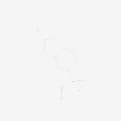 NC(=O)C1(c2cc(F)c3c(c2)CC(C=O)C3)CC1